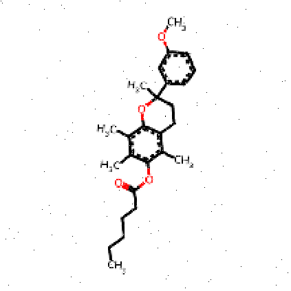 CCCCCC(=O)Oc1c(C)c(C)c2c(c1C)CCC(C)(c1cc[c]c(OC)c1)O2